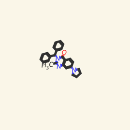 Cc1nc2cc(N3CCCC3)ccc2c(=O)n1C(c1ccccc1)c1ccccc1